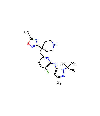 Cc1cc(Nc2nc(CC3(c4noc(C)n4)CCNCC3)ccc2F)n(C(C)(C)C)n1